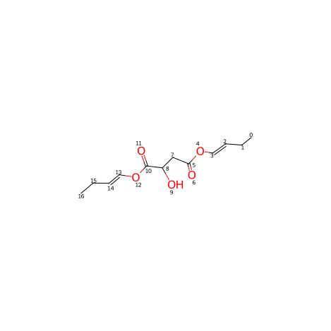 CCC=COC(=O)CC(O)C(=O)OC=CCC